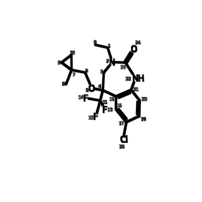 CCN1CC(OCC2(C)CC2)(C(F)(F)F)c2cc(Cl)ccc2NC1=O